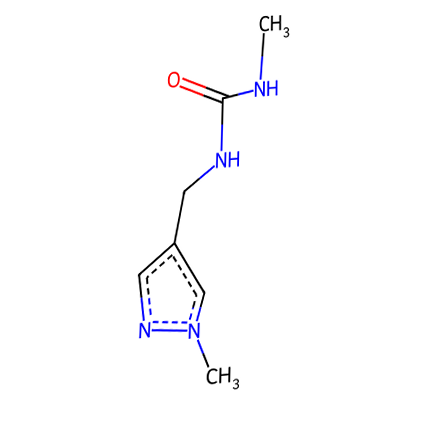 CNC(=O)NCc1cnn(C)c1